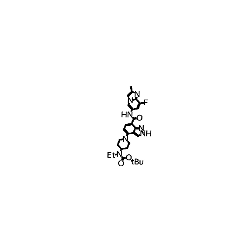 CCN(C(=O)OC(C)(C)C)C1CCN(c2ccc(C(=O)Nc3cc(F)c4nc(C)cn4c3)c3n[nH]cc23)CC1